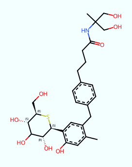 Cc1cc(O)c([C@@H]2S[C@H](CO)[C@@H](O)C(O)[C@H]2O)cc1Cc1ccc(CCCC(=O)NC(C)(CO)CO)cc1